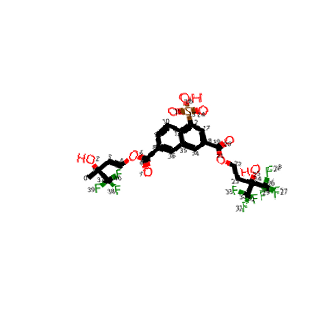 CC(O)(CCOC(=O)c1ccc2c(S(=O)(=O)O)cc(C(=O)OCCC(O)(C(F)(F)F)C(F)(F)F)cc2c1)C(F)(F)F